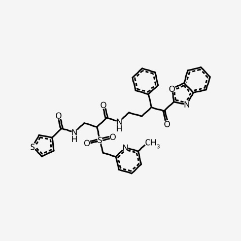 Cc1cccc(CS(=O)(=O)C(CNC(=O)c2ccsc2)C(=O)NCCC(C(=O)c2nc3ccccc3o2)c2ccccc2)n1